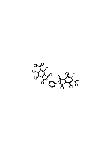 O=C(Cl)c1c(Cl)c(Cl)c2c(c1Cl)C(=O)N(c1cccc(N3C(=O)c4c(Cl)c(Cl)c(C(=O)Cl)c(Cl)c4C3=O)c1)C2=O